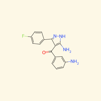 Nc1cccc(C(=O)c2c(-c3ccc(F)cc3)n[nH]c2N)c1